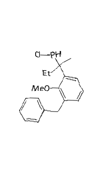 CCC(C)(PCl)c1cccc(Cc2ccccc2)c1OC